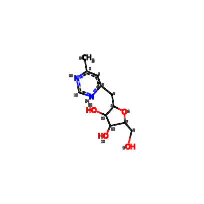 Cc1cc(CC2OC(CO)C(O)C2O)ncn1